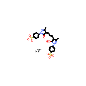 CC1=NN(c2ccc(S(=O)(=O)[O-])cc2)C(=O)C1=CC=Cc1c(C)nn(-c2ccc(S(=O)(=O)[O-])cc2)c1O.[Na+].[Na+]